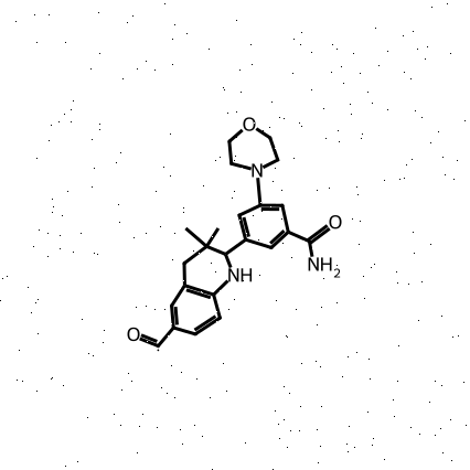 CC1(C)Cc2cc([C]=O)ccc2NC1c1cc(C(N)=O)cc(N2CCOCC2)c1